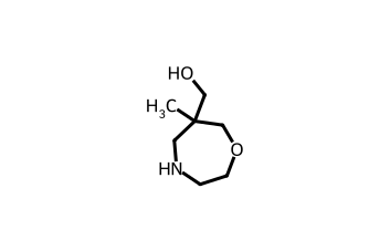 CC1(CO)CNCCOC1